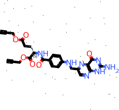 C#CCOC(=O)CC[C@H](NC(=O)c1ccc(NCc2cnc3[nH]c(N)nc(=O)c3n2)cc1)C(=O)OCC#C